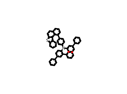 c1ccc(-c2cccc(N(c3ccc(-c4cccc5ccc6sc7ccccc7c6c45)cc3)c3ccc(-c4ccccc4)cc3-c3ccccc3)c2)cc1